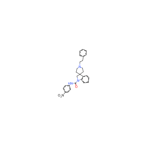 O=C(Nc1ccc([N+](=O)[O-])cc1)N1CC2(CCN(CCc3ccccc3)CC2)c2ccccc21